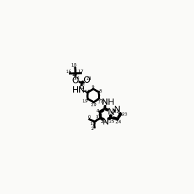 CC(C)c1cc(N[C@H]2CC[C@H](NC(=O)OC(C)(C)C)CC2)n2nccc2n1